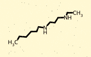 CCCCCCNCCCNCC